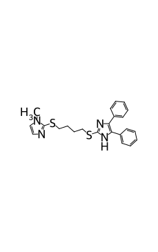 Cn1ccnc1SCCCCSc1nc(-c2ccccc2)c(-c2ccccc2)[nH]1